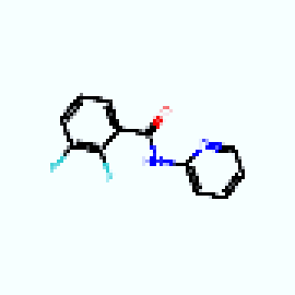 O=C(Nc1ccccn1)c1cccc(F)c1F